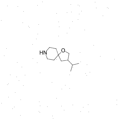 CC(C)C1COC2(CCNCC2)C1